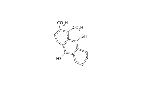 O=C(O)c1ccc2c(S)c3ccccc3c(S)c2c1C(=O)O